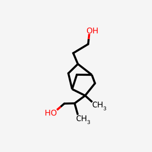 CC(CO)C1(C)CC2CC1CC2CCO